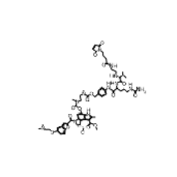 COC(=O)c1c(C)[nH]c2c(OC(=O)N(C)CCN(C)C(=O)OCc3ccc(NC(=O)C(CCCNC(N)=O)NC(=O)[C@@H](NCCNC(=O)CCCN4C(=O)C=CC4=O)C(C)C)cc3)cc3c(c12)[C@H](CCl)CN3C(=O)c1cc2cc(OCCN(C)C)ccc2o1